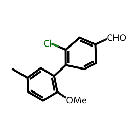 COc1ccc(C)cc1-c1ccc(C=O)cc1Cl